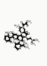 C=C(F)C(=O)N1C[C@@H]2C(=O)N(CCN(C)C)c3c(c4cc(Cl)c(-c5c(O)cccc5F)nc4n(-c4c(C)ccnc4C(C)C)c3=O)N2C[C@H]1C